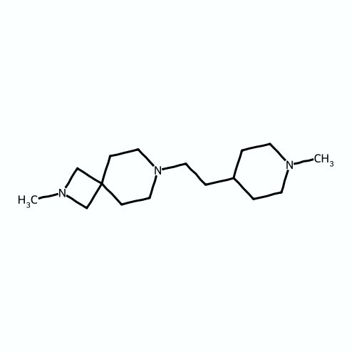 CN1CCC(CCN2CCC3(CC2)CN(C)C3)CC1